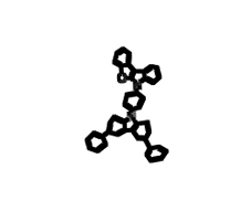 c1ccc(-c2ccc3c(c2)c2cc(-c4ccccc4)ccc2n3-c2ccc(-n3c4ccccc4c4c5ccccc5oc43)cc2)cc1